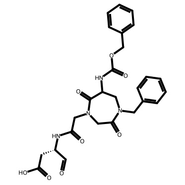 O=C[C@H](CC(=O)O)NC(=O)CN1CC(=O)N(Cc2ccccc2)CC(NC(=O)OCc2ccccc2)C1=O